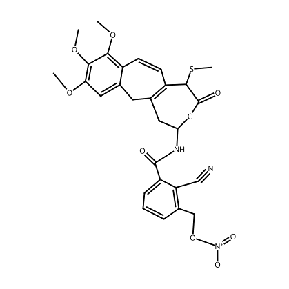 COc1cc2c(c(OC)c1OC)C=CC1=C(C2)CC(NC(=O)c2cccc(CO[N+](=O)[O-])c2C#N)CC(=O)C1SC